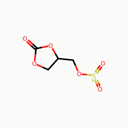 O=C1OCC(CO[SH](=O)=O)O1